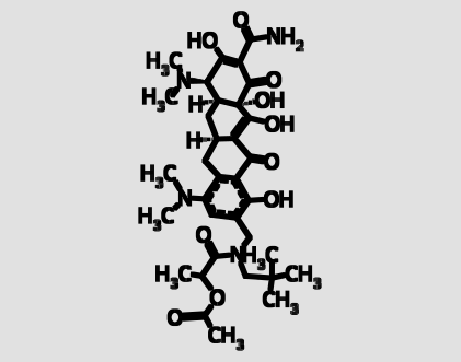 CC(=O)OC(C)C(=O)N(Cc1cc(N(C)C)c2c(c1O)C(=O)C1=C(O)[C@]3(O)C(=O)C(C(N)=O)=C(O)[C@H](N(C)C)[C@@H]3C[C@@H]1C2)CC(C)(C)C